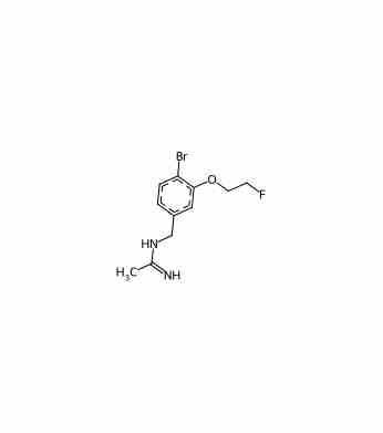 CC(=N)NCc1ccc(Br)c(OCCF)c1